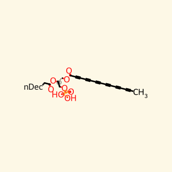 CC#CC#CC#CC#CC#CC#CC(=O)OC[C@H](COP(=O)(O)O)OC(=O)CCCCCCCCCCC